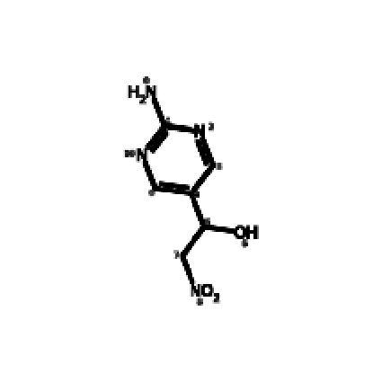 Nc1ncc(C(O)C[N+](=O)[O-])cn1